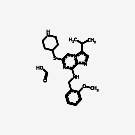 COc1ccccc1CNc1nc(SC2CCNCC2)cn2c(C(C)C)cnc12.O=CO